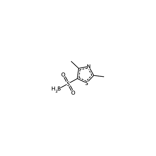 BS(=O)(=O)c1sc(C)nc1C